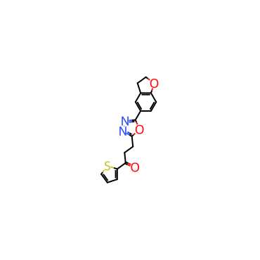 O=C(CCc1nnc(-c2ccc3c(c2)CCO3)o1)c1cccs1